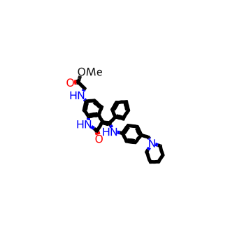 COC(=O)CNc1ccc2c(c1)NC(=O)/C2=C(\Nc1ccc(CN2CCCCC2)cc1)c1ccccc1